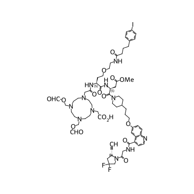 C#C[C@H]1CC(F)(F)CN1C(=O)CNC(=O)c1ccnc2ccc(OCCCC3CCN(C(=O)[C@H](CC(=O)OC)NC(=O)[C@H](CCOCCNC(=O)CCCc4ccc(I)cc4)NC(=O)CN4CCN(COC=O)CCN(COC=O)CCN(CC(=O)O)CC4)CC3)cc12